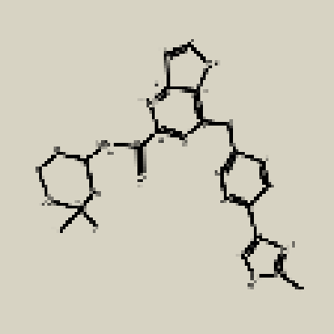 Cc1nc(-c2ccc(Cc3cc(C(=O)NC4CCOC(C)(C)C4)nc4ccsc34)cc2)co1